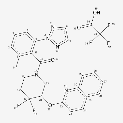 Cc1cccc(-n2nccn2)c1C(=O)N1CCC(F)(F)C(Oc2ccc3ccccc3n2)C1.O=C(O)C(F)(F)F